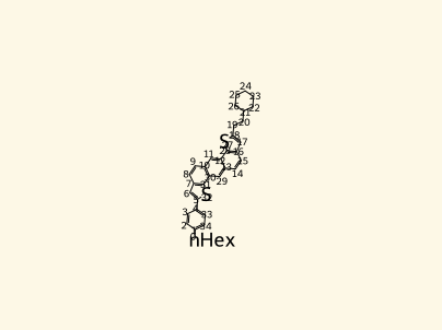 CCCCCCc1ccc(-c2cc3ccc4cc5c(ccc6cc(CCC7CCCCC7)sc65)cc4c3s2)cc1